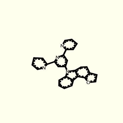 c1ccc(-c2cc(-n3c4ccccc4c4c5occc5ccc43)cc(-c3ccccn3)n2)nc1